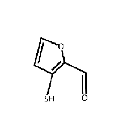 O=[C]c1occc1S